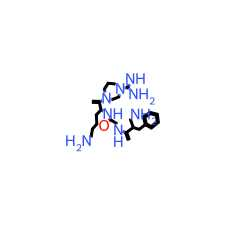 C=C(NCC(=O)NC(CCCCN)C(=C)N1CCCN(C(=N)N)CC1)C(CN)Cc1ccccc1